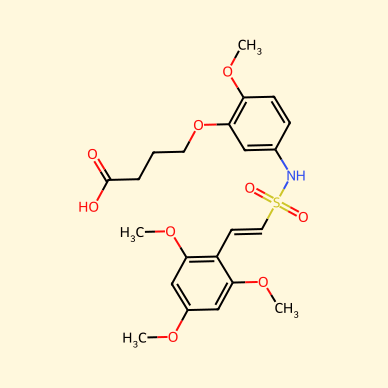 COc1cc(OC)c(/C=C/S(=O)(=O)Nc2ccc(OC)c(OCCCC(=O)O)c2)c(OC)c1